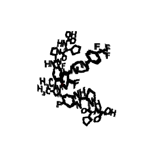 CC1C[C@H](c2cc3[nH]c(C4CCCN4C(=O)C(NC(=O)O)C4CCCC4)nc3cc2F)N(c2cc(F)c(N3CCN(c4ccc(C(F)(F)F)cc4)CC3)c(F)c2)[C@]1(C)c1cc2[nH]c(C3CCCN3C(=O)[C@@H](NC(=O)O)C3CCCC3)nc2cc1F